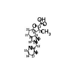 Cc1c(C(=O)O)oc2c1-c1nn(Cc3ncccn3)cc1CC2